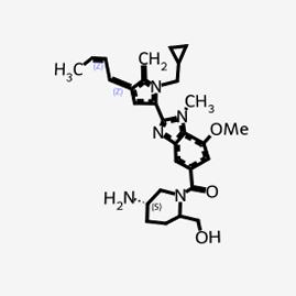 C=c1/c(=C\C=C/C)cc(-c2nc3cc(C(=O)N4C[C@@H](N)CCC4CO)cc(OC)c3n2C)n1CC1CC1